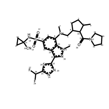 CC1CCC(CN(C)c2cc(S(=O)(=O)NC3(C#N)CC3)cc3c(-c4nnc(C(F)F)s4)nn(C)c23)C1C(=O)N1CCCC1